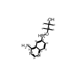 CC(C)(O)C(C)(C)OBc1ccc2ncnc(N)c2c1